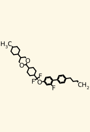 C=CCCc1ccc(-c2ccc(OC(F)(F)C3CCC(C4OCC(C5CCC(C)CC5)CO4)CC3)cc2F)cc1